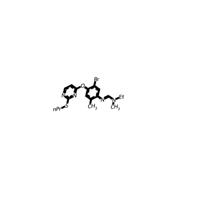 CCCSc1nccc(Oc2cc(C)c(/N=C/N(C)CC)cc2Br)n1